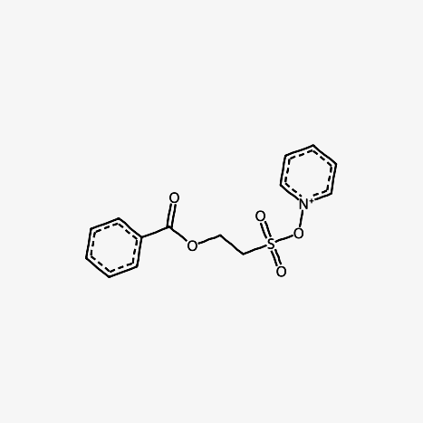 O=C(OCCS(=O)(=O)O[n+]1ccccc1)c1ccccc1